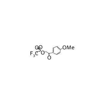 COc1ccc(C(=O)COS(=O)(=O)C(F)(F)F)cc1